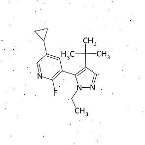 CCn1ncc(C(C)(C)C)c1-c1cc(C2CC2)cnc1F